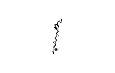 CCNCCOCCOCCn1cc(COC)nn1